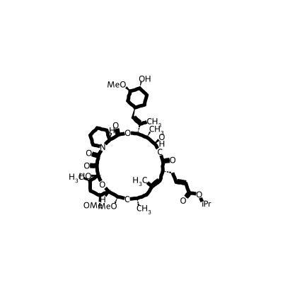 CO[C@H]1C[C@@H](C)C/C(C)=C/[C@@H](C/C=C/C(=O)OC(C)C)C(=O)C[C@H](O)[C@@H](C)[C@@H](/C(C)=C/[C@@H]2CC[C@@H](O)[C@H](OC)C2)OC(=O)[C@@H]2CCCCN2C(=O)C(=O)[C@]2(O)O[C@H]1[C@@H](OC)C[C@H]2C